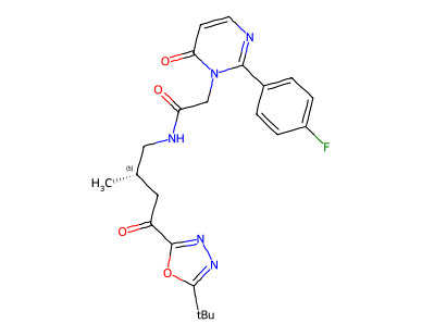 C[C@H](CNC(=O)Cn1c(-c2ccc(F)cc2)nccc1=O)CC(=O)c1nnc(C(C)(C)C)o1